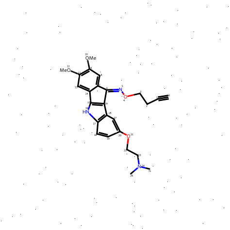 C#CCCON=C1c2cc(OC)c(OC)cc2-c2[nH]c3ccc(OCCN(C)C)cc3c21